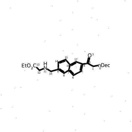 CCCCCCCCCCCC(=O)c1ccc2cc(CNCC(=O)OCC)ccc2c1